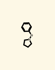 c1ccc([N]N2CCCC2)cc1